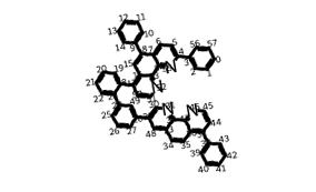 c1ccc(-c2ccc3c(-c4ccccc4)cc4c(-c5ccccc5-c5cccc(-c6cnc7c(ccc8c(-c9ccccc9)ccnc87)c6)c5)ccnc4c3n2)cc1